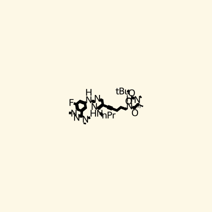 CCCNc1nc(Nc2cc(F)c3c(c2)c(N(C)C)nn3C)ncc1C#CCCCNC(=O)[C@H](C)N(C)C(=O)OC(C)(C)C